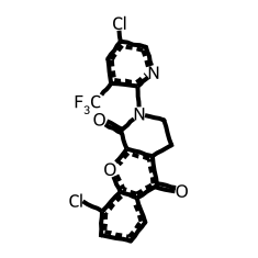 O=C1c2oc3c(Cl)cccc3c(=O)c2CCN1c1ncc(Cl)cc1C(F)(F)F